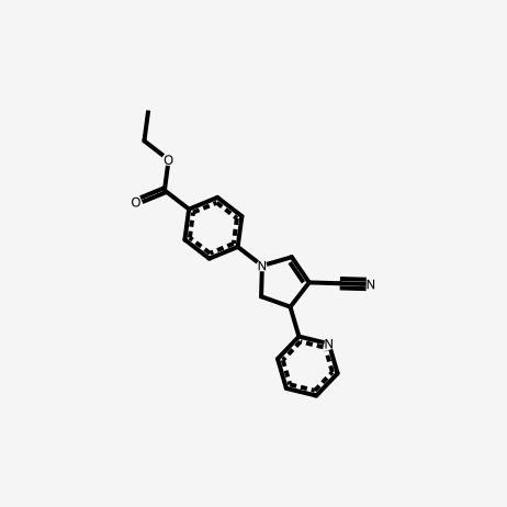 CCOC(=O)c1ccc(N2C=C(C#N)C(c3ccccn3)C2)cc1